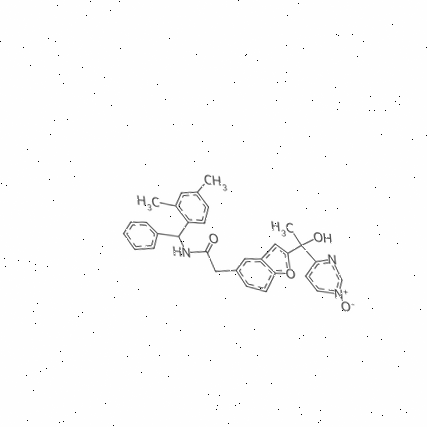 Cc1ccc(C(NC(=O)Cc2ccc3oc(C(C)(O)c4cc[n+]([O-])cn4)cc3c2)c2ccccc2)c(C)c1